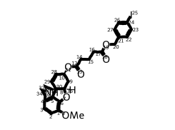 COc1ccc2c3c1O[C@@H]1C[C@H](OC(=O)CCCC(=O)OCc4ccc(I)cc4)C=C[C@@]31CCNCC2